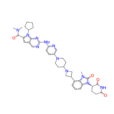 CN(C)C(=O)c1cc2cnc(Nc3ccc(N4CCC(N5CC(c6cccc7c6n(C)c(=O)n7[C@@H]6CCC(=O)NC6=O)C5)CC4)cn3)nc2n1C1CCCC1